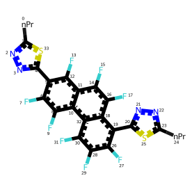 CCCc1nnc(-c2c(F)c(F)c3c(c2F)c(F)c(F)c2c(-c4nnc(CCC)s4)c(F)c(F)c(F)c23)s1